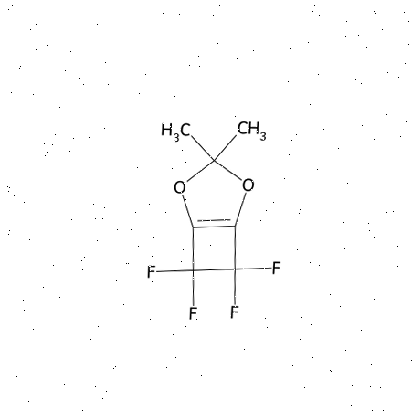 CC1(C)OC2=C(O1)C(F)(F)C2(F)F